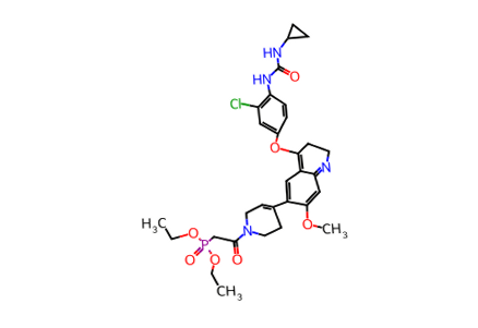 CCOP(=O)(CC(=O)N1CC=C(c2cc3c(cc2OC)=NCCC=3Oc2ccc(NC(=O)NC3CC3)c(Cl)c2)CC1)OCC